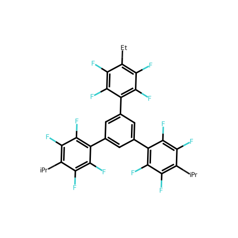 CCc1c(F)c(F)c(-c2cc(-c3c(F)c(F)c(C(C)C)c(F)c3F)cc(-c3c(F)c(F)c(C(C)C)c(F)c3F)c2)c(F)c1F